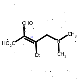 CC/C(CN(C)C)=C(/C=O)C(=O)O